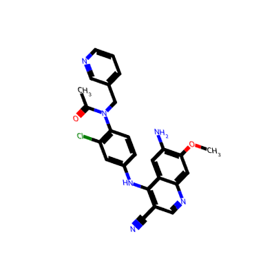 COc1cc2ncc(C#N)c(Nc3ccc(N(Cc4cccnc4)C(C)=O)c(Cl)c3)c2cc1N